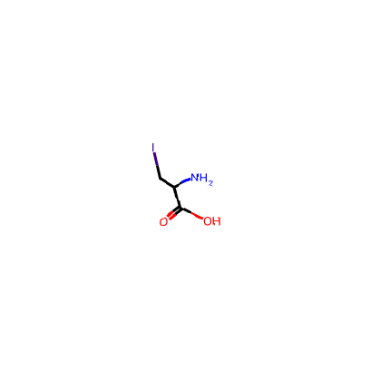 NC(CI)C(=O)O